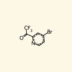 O=C(c1cc(Br)ccn1)C(F)(F)F